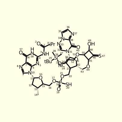 CC(C)C(=O)Nc1nc2c(ncn2[C@H]2C[C@@H](C)C(COP(=O)(S)OCC3C(O[Si](C)(C)C(C)(C)C)[C@H](n4cnn5ccnc5c4=O)O[C@@H]3COC3C(=S)C(O)C3OCCC#N)O2)c(=O)[nH]1